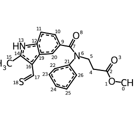 COC(=O)CCN(C(=O)c1ccc2[nH]c(C)c(C=S)c2c1)c1ccccc1